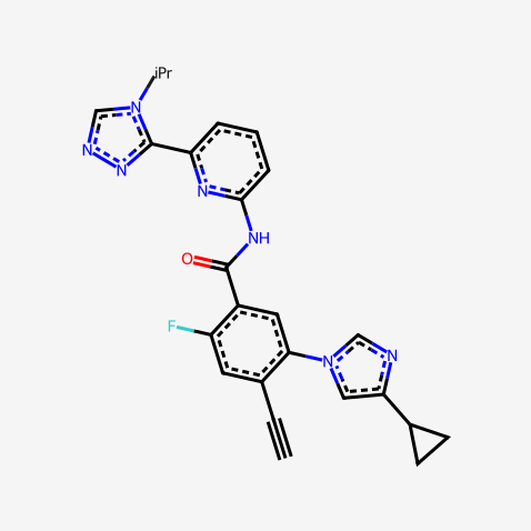 C#Cc1cc(F)c(C(=O)Nc2cccc(-c3nncn3C(C)C)n2)cc1-n1cnc(C2CC2)c1